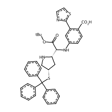 CC(C)(C)OC(=O)C(Nc1ccc(C(=O)O)c(-c2nccs2)c1)[C@@H]1C[C@H](SC(c2ccccc2)(c2ccccc2)c2ccccc2)CN1